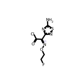 Nc1nc(/C(=N/OCCF)C(=O)Cl)ns1